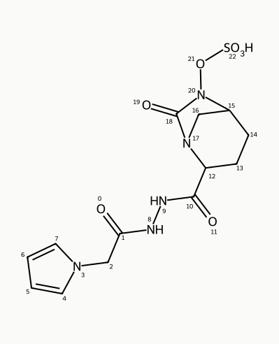 O=C(Cn1cccc1)NNC(=O)C1CCC2CN1C(=O)N2OS(=O)(=O)O